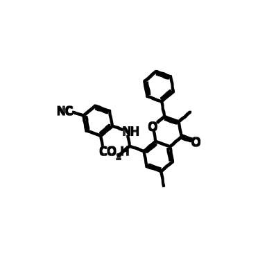 Cc1cc(C(C)Nc2ccc(C#N)cc2C(=O)O)c2oc(-c3ccccc3)c(C)c(=O)c2c1